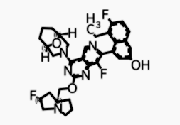 CCc1c(F)ccc2cc(O)cc(-c3ncc4c(N5C[C@H]6CCC[C@@H](C5)O6)nc(OC[C@@]56CCCN5C[C@H](F)C6)nc4c3F)c12